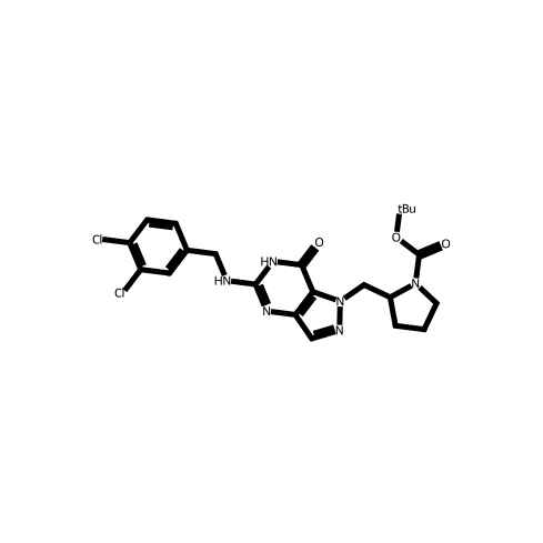 CC(C)(C)OC(=O)N1CCCC1Cn1ncc2nc(NCc3ccc(Cl)c(Cl)c3)[nH]c(=O)c21